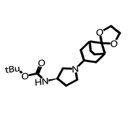 CC(C)(C)OC(=O)N[C@@H]1CCN(C2CC3CCC(C2)C32OCCO2)C1